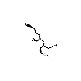 C/C=C\C(CO)=N/N(C=O)CCCC#N